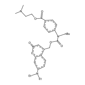 CCCCN(C(=O)OCc1cc(=O)oc2cc(N(CC)CC)ccc12)c1ccc(C(=O)OCCN(C)C)cc1